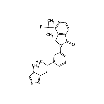 CC(Cc1nncn1C)c1cccc(N2Cc3c(ccnc3C(C)(C)F)C2=O)c1